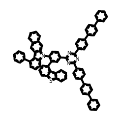 c1ccc(-c2ccc(-c3ccc(-c4nc(-c5ccc(-c6ccc(-c7ccccc7)cc6)cc5)nc(-c5ccc(-n6c7cc8ccccc8cc7c7c(-c8ccccc8)cccc76)c(-c6cccc7sc8ccccc8c67)c5)n4)cc3)cc2)cc1